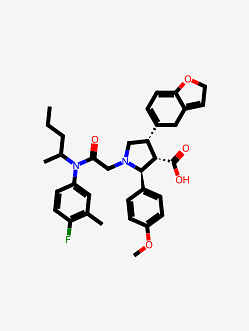 CCCC(C)N(C(=O)CN1C[C@H](C2=CC=C3OCC=C3C2)[C@H](C(=O)O)[C@H]1c1ccc(OC)cc1)c1ccc(F)c(C)c1